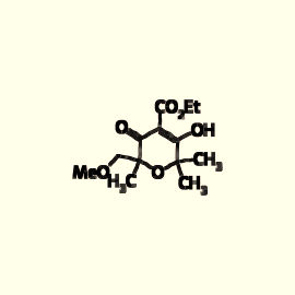 CCOC(=O)C1=C(O)C(C)(C)OC(C)(COC)C1=O